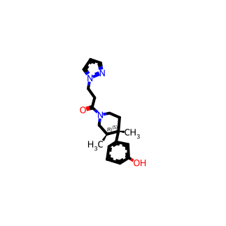 C[C@H]1CN(C(=O)CCn2cccn2)CC[C@]1(C)c1cccc(O)c1